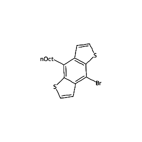 CCCCCCCCc1c2ccsc2c(Br)c2ccsc12